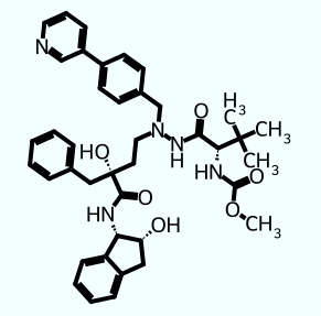 COC(=O)N[C@H](C(=O)NN(CC[C@](O)(Cc1ccccc1)C(=O)N[C@H]1c2ccccc2C[C@H]1O)Cc1ccc(-c2cccnc2)cc1)C(C)(C)C